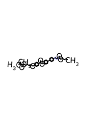 C=C(C)C(=O)OCCCCOc1ccc(C(=O)Oc2ccc(-c3ccc(/C=C/C(=O)OCCCC)cc3)cc2)cc1